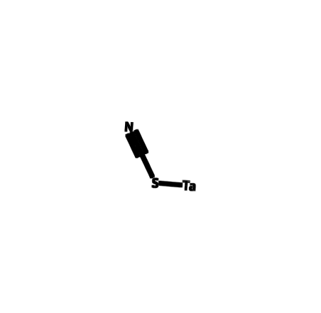 N#C[S][Ta]